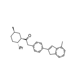 Cc1cccc2c1C=C(c1ccc(CC(=O)[C@@H]3C[C@H](C)CC[C@H]3C(C)C)cc1)C2